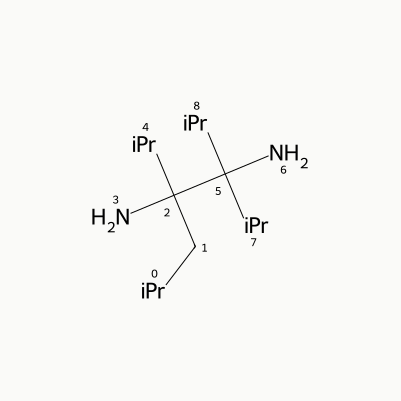 CC(C)CC(N)(C(C)C)C(N)(C(C)C)C(C)C